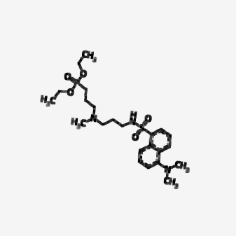 CCOP(=O)(CCCN(C)CCCNS(=O)(=O)c1cccc2c(N(C)C)cccc12)OCC